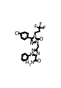 NC(=O)c1nc(Cn2nc(-c3ccc(Cl)cc3)n(CCC(F)(F)F)c2=O)nn1-c1ccccc1